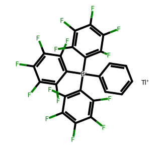 Fc1c(F)c(F)c([B-](c2ccccc2)(c2c(F)c(F)c(F)c(F)c2F)c2c(F)c(F)c(F)c(F)c2F)c(F)c1F.[Tl+]